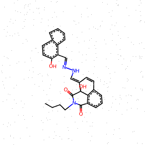 CCCCN1C(=O)c2cccc3c2C(O)(C1=O)C(=CNN=Cc1c(O)ccc2ccccc12)C=C3